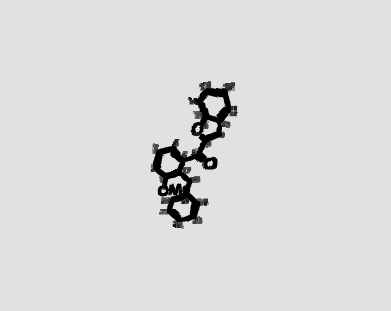 COc1cccc(C(=O)c2cc3ccccc3o2)c1Cc1ccccc1